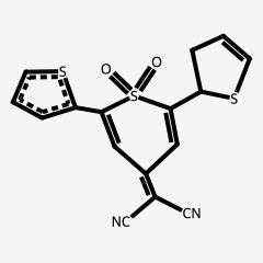 N#CC(C#N)=C1C=C(c2cccs2)S(=O)(=O)C(C2CC=CS2)=C1